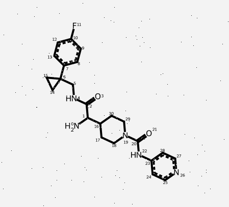 NC(C(=O)NCC1(c2ccc(F)cc2)CC1)C1CCN(C(=O)Nc2ccncc2)CC1